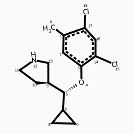 Cc1cc(O[C@H](C2CC2)[C@H]2CCNC2)c(Cl)cc1Cl